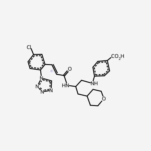 O=C(/C=C/c1cc(Cl)ccc1-n1cnnn1)NC(CNc1ccc(C(=O)O)cc1)CC1CCOCC1